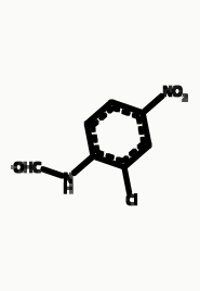 O=[C]Nc1ccc([N+](=O)[O-])cc1Cl